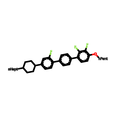 CCCCCCCC1CCC(c2ccc(-c3ccc(-c4ccc(OCCCCC)c(F)c4F)cc3)c(F)c2)CC1